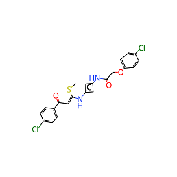 CS/C(=C\C(=O)c1ccc(Cl)cc1)NC12CC(NC(=O)COc3ccc(Cl)cc3)(C1)C2